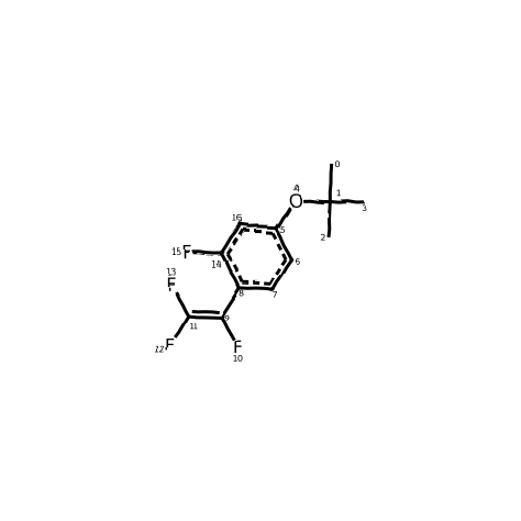 CC(C)(C)Oc1ccc(C(F)=C(F)F)c(F)c1